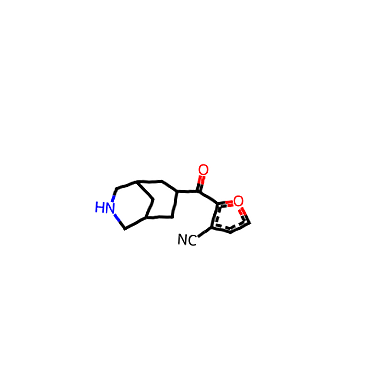 N#Cc1ccoc1C(=O)C1CC2CNCC(C2)C1